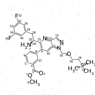 COC(=O)c1cccc(-c2cc3c(cnn3COCCS(C)(C)C)nc2[C@@H](N)Cc2cc(F)cc(F)c2)c1